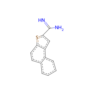 N=C(N)c1cc2c(ccc3ccccc32)s1